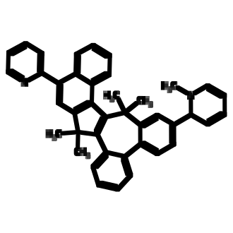 CN1C=CC=CC1c1ccc2c(c1)C(C)(C)C1=C(c3ccccc3-2)C(C)(C)c2cc(-c3ccccn3)c3ccccc3c21